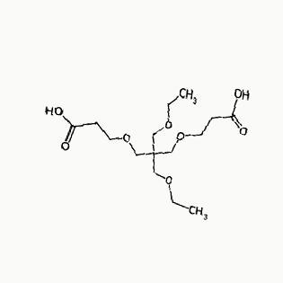 CCOCC(COCC)(COCCC(=O)O)COCCC(=O)O